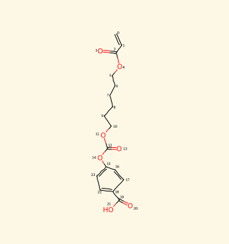 C=CC(=O)OCCCCCCOC(=O)Oc1ccc(C(=O)O)cc1